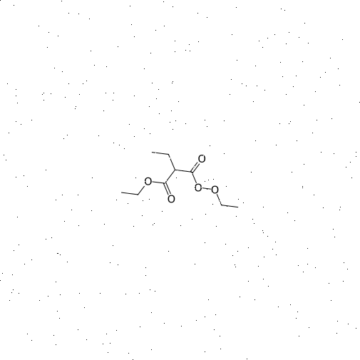 CCOOC(=O)C(CC)C(=O)OCC